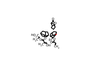 C=CC(=O)O.C=CC(=O)OC1(CC)C2CC3CC(C2)CC1C3.CC(=CO)C(=O)OC12CC3CC(CC(C3)C1)C2.O=C1OC2C3CCC2C1C3